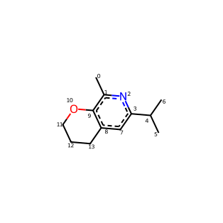 Cc1nc(C(C)C)cc2c1OCCC2